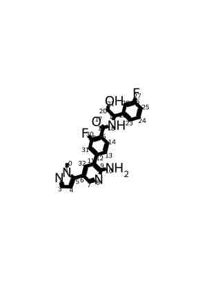 Cn1nccc1-c1cnc(N)c(-c2ccc(C(=O)NC(CO)c3cccc(F)c3)c(F)c2)c1